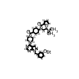 CCOc1cccc(Cn2ncc3c(N4CCN(C(=O)C5CCC(N(CCN(C)C)C(=O)c6ccco6)CC5)CC4)ncnc32)c1